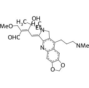 CC[C@](C)(O)C(/C=C1/c2nc3cc4c(cc3c(CCCNC)c2CN1C)OCO4)=C(/C=O)COC